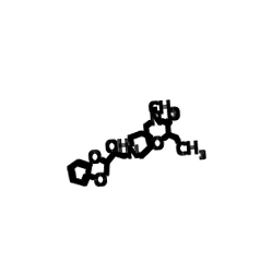 CCC1OC2(CCN(CC(O)C3COc4ccccc4O3)CC2)CN(C)C1=O